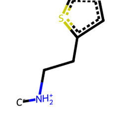 [CH2-][NH2+]CCc1cccs1